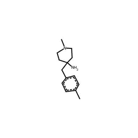 Cc1ccc(CC2(N)CCN(C)CC2)cc1